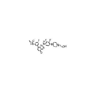 C=CC(=O)Nc1cc(F)cc(-n2ccc(=O)c3cnc(Nc4ccc(N5CCN(CCO)CC5)c(F)c4F)nc32)c1